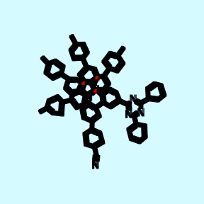 Cc1ccc(-c2ccc3c(c2)c2cc(-c4ccc(C)cc4)ccc2n3-c2ccc(-c3ccc(C#N)cc3)cc2-c2cc(-c3nc(-c4ccccc4)nc(-c4ccccc4)n3)ccc2-n2c3ccc(-c4ccc(C)cc4)cc3c3cc(-c4ccc(C)cc4)ccc32)cc1